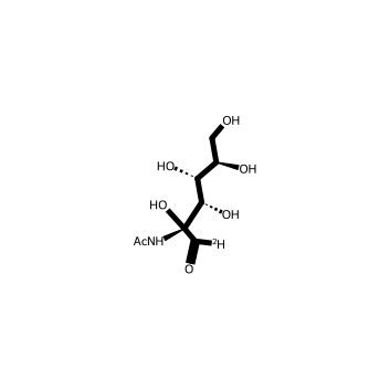 [2H]C(=O)[C@@](O)(NC(C)=O)[C@@H](O)[C@H](O)[C@H](O)CO